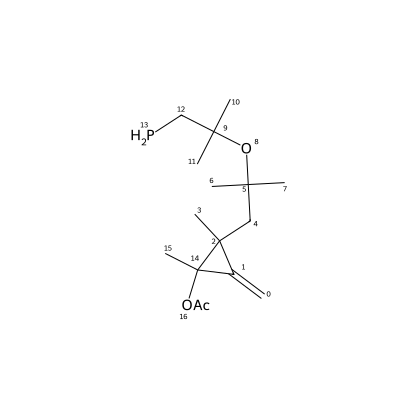 C=C1C(C)(CC(C)(C)OC(C)(C)CP)C1(C)OC(C)=O